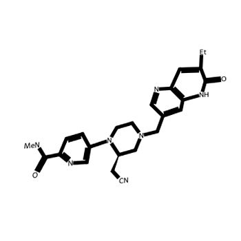 CCc1cc2ncc(CN3CCN(c4ccc(C(=O)NC)nc4)[C@H](CC#N)C3)cc2[nH]c1=O